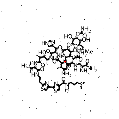 COCC1O[C@H](O[C@H]2C(O)[C@H](O)C(CO)O[C@H]2O[C@@H](c2c[nH]cn2)[C@H](NC(=O)c2nc([C@H](CC(N)=O)NC[C@H](N)C(N)=O)nc(N)c2C)C(=O)N[C@H](C)[C@@H](O)[C@H](C)C(=O)N[C@H](C(=O)NCCc2nc(-c3nc(C(=O)NCCC[S+](C)C)cs3)cs2)[C@@H](C)O)C(O)[C@H](OC(N)=O)[C@@H]1O